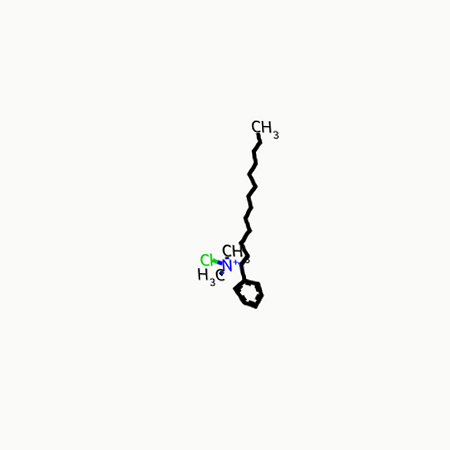 CCCCCCCCCCCCC(c1ccccc1)[N+](C)(C)Cl